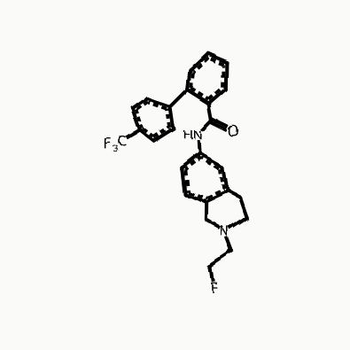 O=C(Nc1ccc2c(c1)CCN(CCF)C2)c1ccccc1-c1ccc(C(F)(F)F)cc1